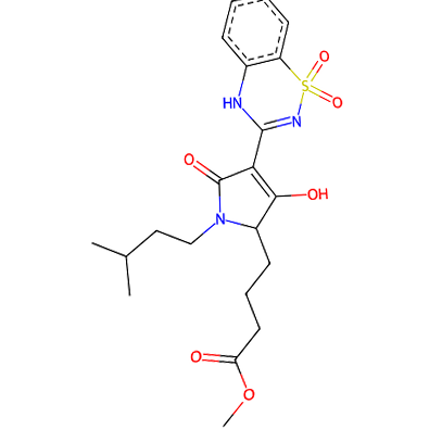 COC(=O)CCCC1C(O)=C(C2=NS(=O)(=O)c3ccccc3N2)C(=O)N1CCC(C)C